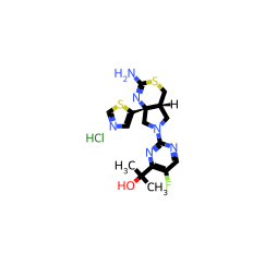 CC(C)(O)c1nc(N2C[C@H]3CSC(N)=N[C@@]3(c3cncs3)C2)ncc1F.Cl